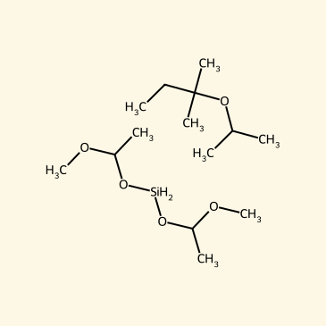 CCC(C)(C)OC(C)C.COC(C)O[SiH2]OC(C)OC